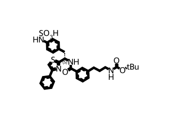 CC(C)(C)OC(=O)NCCCc1cccc(C(=O)N[C@@H](Cc2ccc(NS(=O)(=O)O)cc2)c2nc(-c3ccccc3)cs2)c1